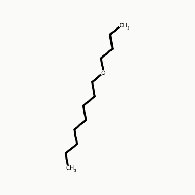 CCCCCCCCOCCCC